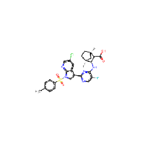 Cc1ccc(S(=O)(=O)n2cc(-c3ncc(F)c(N[C@@H]4C(C(=O)O)[C@@H]5CC[C@H]4C5)n3)c3cc(Cl)cnc32)cc1